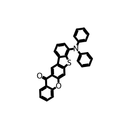 O=c1c2ccccc2oc2cc3sc4c(N(c5ccccc5)c5ccccc5)cccc4c3cc12